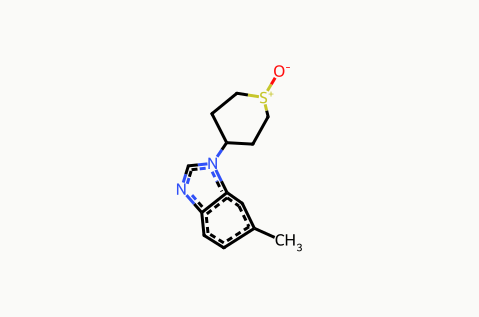 Cc1ccc2ncn(C3CC[S+]([O-])CC3)c2c1